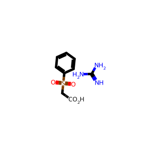 N=C(N)N.O=C(O)CS(=O)(=O)c1ccccc1